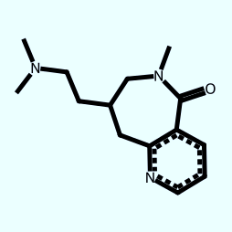 CN(C)CCC1Cc2ncccc2C(=O)N(C)C1